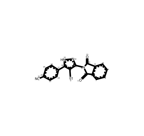 CCc1c(N2C(=O)c3ccccc3C2=O)n[nH]c1-c1ccc(C#N)cc1